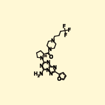 Nc1nc(N2CCC[C@H]2C(=O)N2CCN(CCCC(F)(F)F)CC2)nc2nc(-c3ccco3)nn12